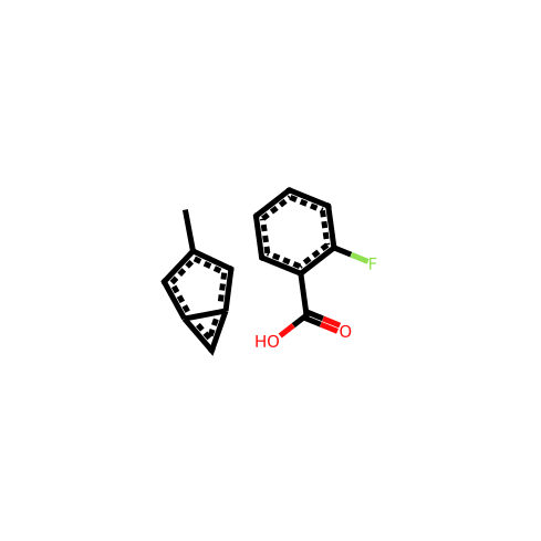 Cc1cc2cc-2c1.O=C(O)c1ccccc1F